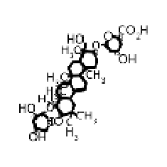 CC1(C)CC2C3=CCC4[C@@]5(C)CC[C@H](O[C@H]6C[C@@H](O)C[C@@H](C(=O)O)O6)[C@](C)(CO)C5CC[C@@]4(C)[C@]3(C)CC[C@@]2(C)[C@H](O[C@@H]2OC[C@H](O)C[C@H]2O)[C@@H]1O